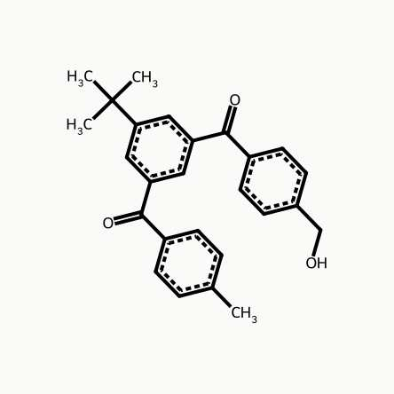 Cc1ccc(C(=O)c2cc(C(=O)c3ccc(CO)cc3)cc(C(C)(C)C)c2)cc1